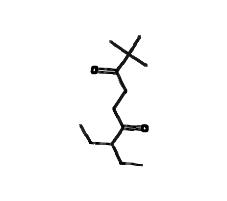 CCC(CC)C(=O)CCC(=O)C(C)(C)C